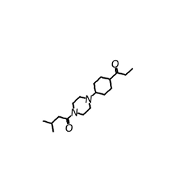 CCC(=O)C1CCC(N2CCN(C(=O)CC(C)C)CC2)CC1